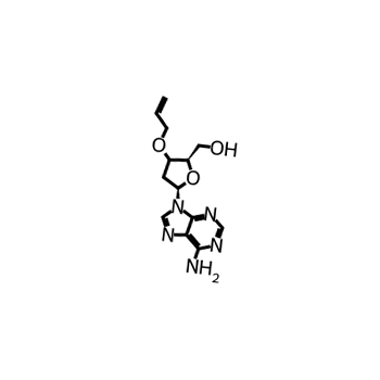 C=CCOC1C[C@H](n2cnc3c(N)ncnc32)O[C@@H]1CO